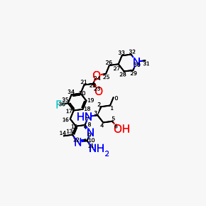 CCC[C@@H](CCO)Nc1nc(N)nc(C)c1Cc1ccc(CC(=O)OCCC2CCN(C)CC2)cc1F